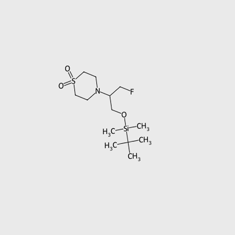 CC(C)(C)[Si](C)(C)OCC(CF)N1CCS(=O)(=O)CC1